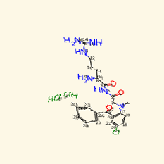 CN(CC(=O)NC(=O)[C@@H](N)CCCNC(=N)N)c1ccc(Cl)cc1C(=O)c1ccccc1.Cl.Cl